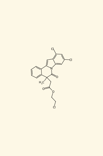 CC1(CC(=O)OCCCl)C(=O)n2c(cc3c(Cl)cc(Cl)cc32)-c2ccccc21